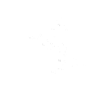 COc1ccc(S(=O)(=O)N(CC(=O)O)c2cc(CN(CC(=O)O)S(=O)(=O)c3ccc(N4CCCC4=O)cc3)cc3sccc23)cc1